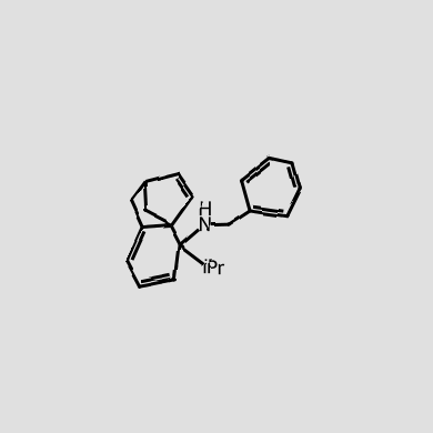 CC(C)C1(NCc2ccccc2)C=CC=C2CC3C=CC21C3